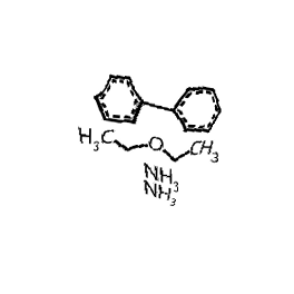 CCOCC.N.N.c1ccc(-c2ccccc2)cc1